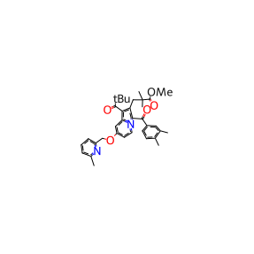 COC(=O)C(C)(C)Cc1c(C(=O)C(C)(C)C)c2cc(OCc3cccc(C)n3)ccn2c1C(=O)c1ccc(C)c(C)c1